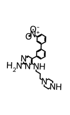 Nc1ncc(-c2cccc(-c3cccc([N+](=O)[O-])c3)c2)c(NCCCN2CCNCC2)n1